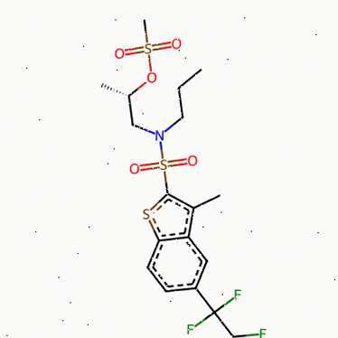 CCCN(C[C@H](C)OS(C)(=O)=O)S(=O)(=O)c1sc2ccc(C(F)(F)CF)cc2c1C